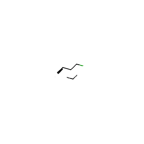 C=CCCBr.CCOC(=O)CC(=O)OCC